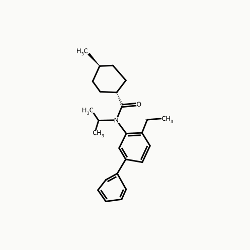 C[CH]c1ccc(-c2ccccc2)cc1N(C(=O)[C@H]1CC[C@H](C)CC1)C(C)C